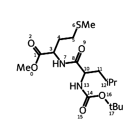 COC(=O)C(CCSC)NC(=O)C(CC(C)C)NC(=O)OC(C)(C)C